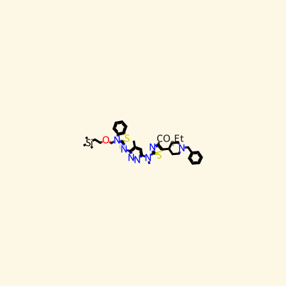 CCOC(=O)c1nc(N(C)c2cc(C)c(/N=c3\sc4ccccc4n3COCC[Si](C)(C)C)nn2)sc1C1CCN(Cc2ccccc2)CC1